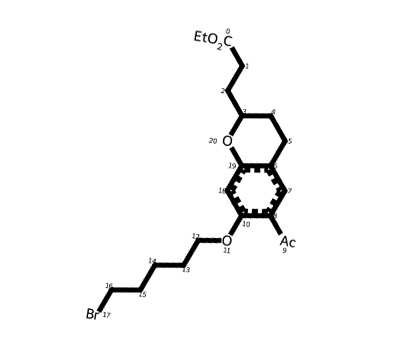 CCOC(=O)CCC1CCc2cc(C(C)=O)c(OCCCCCBr)cc2O1